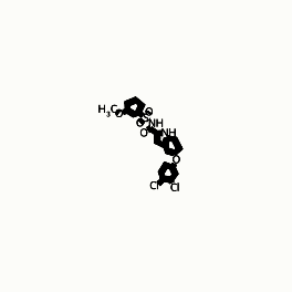 COc1cccc(S(=O)(=O)NC(=O)c2cc3cc(Oc4ccc(Cl)c(Cl)c4)ccc3[nH]2)c1